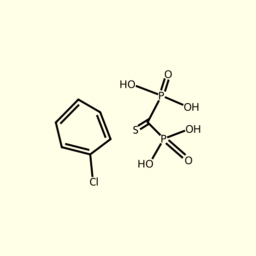 Clc1ccccc1.O=P(O)(O)C(=S)P(=O)(O)O